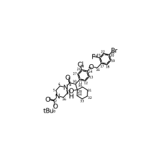 CC(C)(C)OC(=O)N1CCN(C(=O)C(c2ccc(OCc3ccc(Br)cc3F)c(Cl)c2)C2(O)CCCCC2)CC1